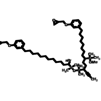 CC#CC(CCC(CCCCCCCCc1cccc(OCC2CO2)c1)[Si](C)(C)OC)[Si](C)(C)O[Si](C)(C)C(CCC)CCCCCCCCCCCc1cccc(OCC2CO2)c1